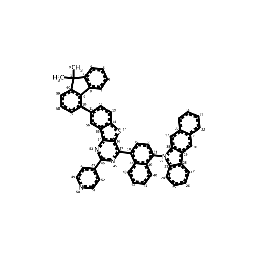 CC1(C)c2ccccc2-c2c(-c3ccc4sc5c(-c6ccc(-n7c8ccccc8c8cc9ccccc9cc87)c7ccccc67)nc(-c6ccncc6)nc5c4c3)cccc21